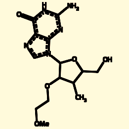 COCCOC1C(C)C(CO)OC1n1cnc2c(=O)[nH]c(N)nc21